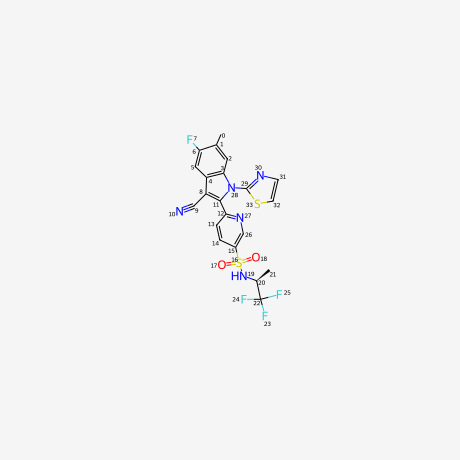 Cc1cc2c(cc1F)c(C#N)c(-c1ccc(S(=O)(=O)N[C@@H](C)C(F)(F)F)cn1)n2-c1nccs1